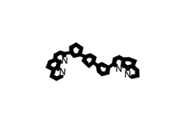 c1cc(-c2ccc(-c3cccc(-c4ccc5ccc6cccnc6c5n4)c3)cc2)cc(-c2ccc3ccc4cccnc4c3n2)c1